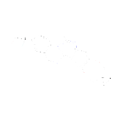 Cc1nc(N[C@H](C)c2cccc(C(F)(F)CO)c2)c2cc3c(cc2n1)OCC1(CC1)CO3